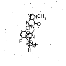 Cn1cnc2ncn(Cc3nc([C@@]45C6[C@H]4[C@H]5CN6c4cc(Cl)ccc4F)no3)c(=O)c21